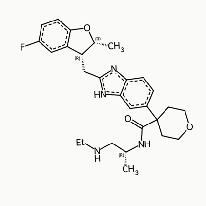 CCNC[C@@H](C)NC(=O)C1(c2ccc3nc(C[C@@H]4c5cc(F)ccc5O[C@@H]4C)[nH]c3c2)CCOCC1